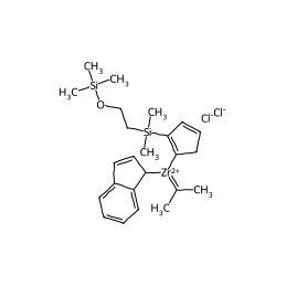 C[C](C)=[Zr+2]([C]1=C([Si](C)(C)CCO[Si](C)(C)C)C=CC1)[CH]1C=Cc2ccccc21.[Cl-].[Cl-]